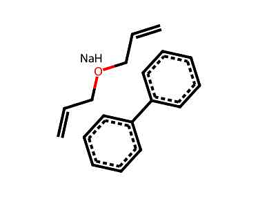 C=CCOCC=C.[NaH].c1ccc(-c2ccccc2)cc1